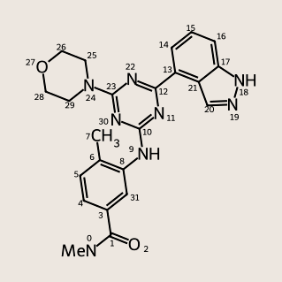 CNC(=O)c1ccc(C)c(Nc2nc(-c3cccc4[nH]ncc34)nc(N3CCOCC3)n2)c1